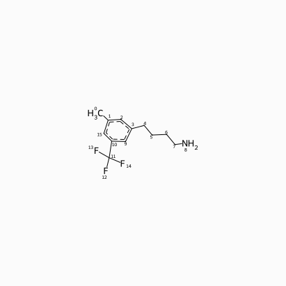 Cc1cc(CCCCN)cc(C(F)(F)F)c1